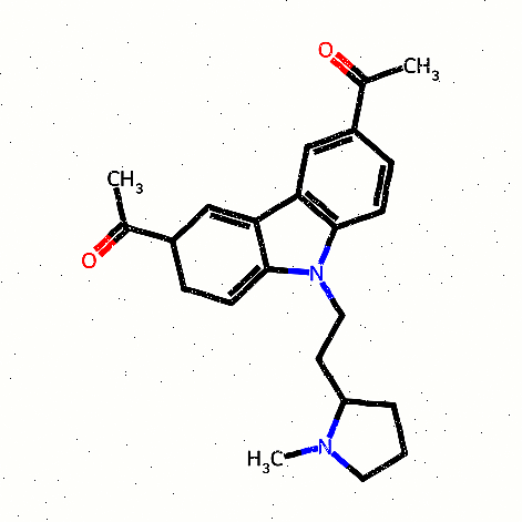 CC(=O)c1ccc2c(c1)c1c(n2CCC2CCCN2C)=CCC(C(C)=O)C=1